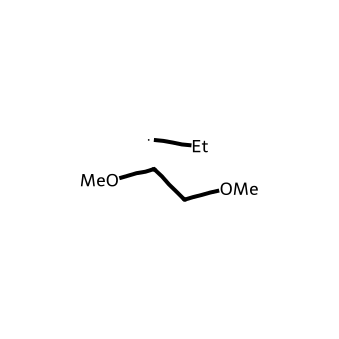 COCCOC.[CH2]CC